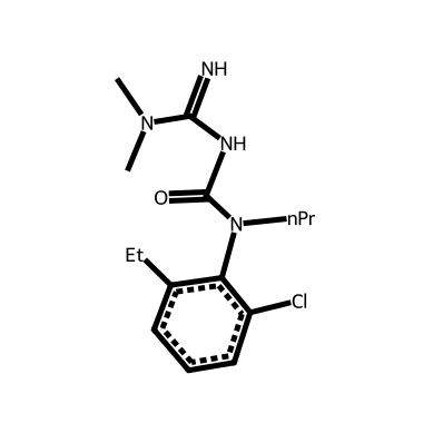 CCCN(C(=O)NC(=N)N(C)C)c1c(Cl)cccc1CC